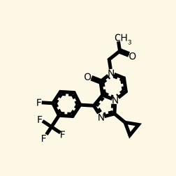 CC(=O)Cn1ccn2c(C3CC3)nc(-c3ccc(F)c(C(F)(F)F)c3)c2c1=O